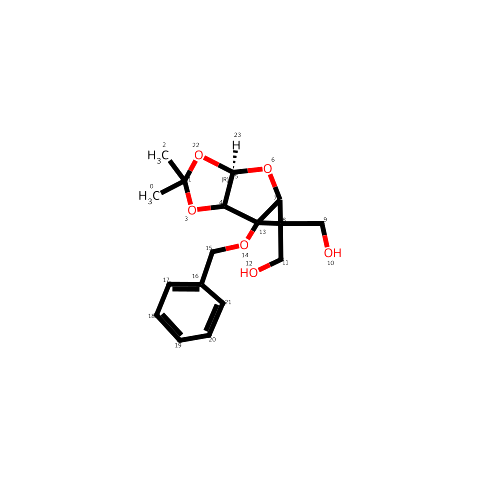 CC1(C)OC2[C@H](OC3C(CO)(CO)C23OCc2ccccc2)O1